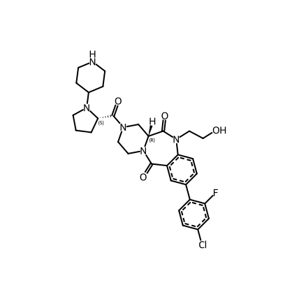 O=C([C@@H]1CCCN1C1CCNCC1)N1CCN2C(=O)c3cc(-c4ccc(Cl)cc4F)ccc3N(CCO)C(=O)[C@H]2C1